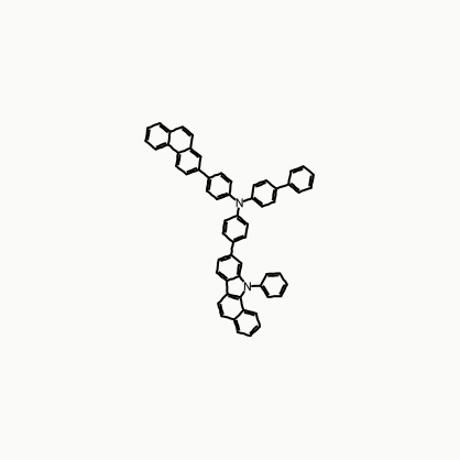 c1ccc(-c2ccc(N(c3ccc(-c4ccc5c(ccc6ccccc65)c4)cc3)c3ccc(-c4ccc5c6ccc7ccccc7c6n(-c6ccccc6)c5c4)cc3)cc2)cc1